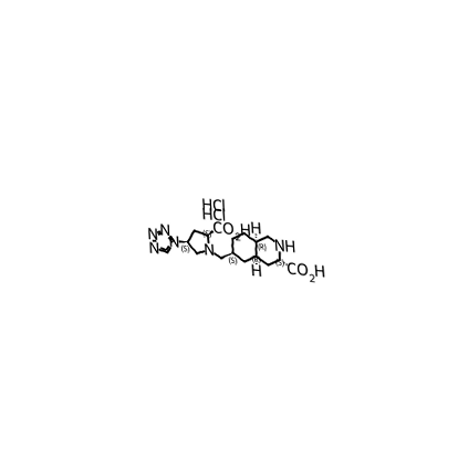 Cl.Cl.O=C(O)[C@@H]1C[C@H]2C[C@@H](CN3C[C@@H](n4cnnn4)C[C@H]3C(=O)O)CC[C@H]2CN1